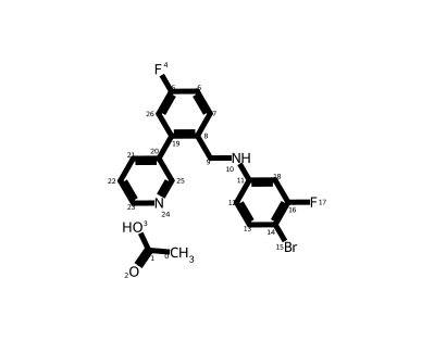 CC(=O)O.Fc1ccc(CNc2ccc(Br)c(F)c2)c(-c2cccnc2)c1